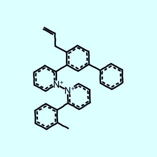 C=CCc1ccc(-c2ccccc2)cc1-c1cccc[n+]1-[n+]1ccccc1-c1ccccc1C